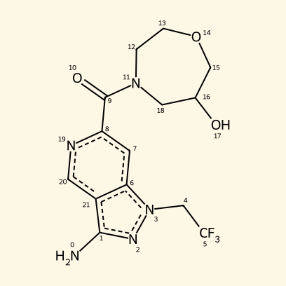 Nc1nn(CC(F)(F)F)c2cc(C(=O)N3CCOCC(O)C3)ncc12